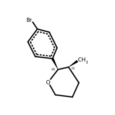 C[C@H]1CCCO[C@H]1c1ccc(Br)cc1